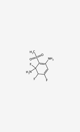 CS(=O)(=O)C1=C(N)C=C(F)C(F)C1(N)F